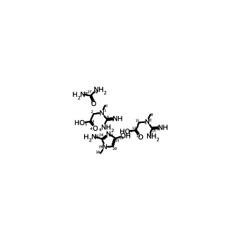 CN(CC(=O)O)C(=N)N.CN(CC(=O)O)C(=N)N.Cn1cc(O)nc1N.NC(N)=O